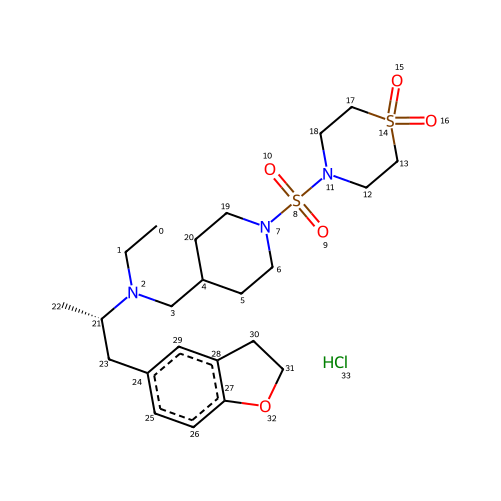 CCN(CC1CCN(S(=O)(=O)N2CCS(=O)(=O)CC2)CC1)[C@@H](C)Cc1ccc2c(c1)CCO2.Cl